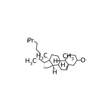 CC(C)CCC[C@@H](C)[C@H]1CC[C@H]2[C@@H]3CC=C4CC([O])CC[C@]4(C)[C@H]3CC[C@]12C